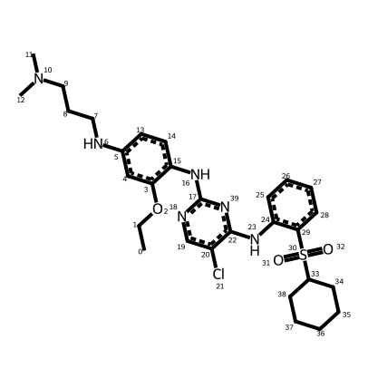 CCOc1cc(NCCCN(C)C)ccc1Nc1ncc(Cl)c(Nc2ccccc2S(=O)(=O)C2CCCCC2)n1